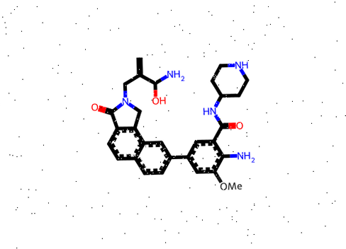 C=C(CN1Cc2c(ccc3ccc(-c4cc(OC)c(N)c(C(=O)NC5CCNCC5)c4)cc23)C1=O)C(N)O